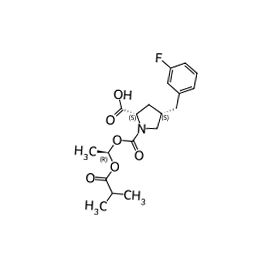 CC(C)C(=O)O[C@@H](C)OC(=O)N1C[C@@H](Cc2cccc(F)c2)C[C@H]1C(=O)O